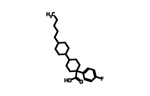 CCCCCC1CCC(C2CCC(C(=O)O)(c3ccc(F)cc3)CC2)CC1